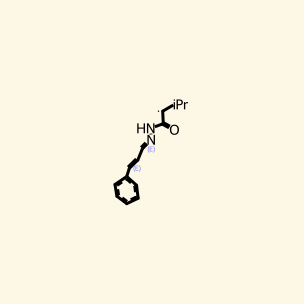 CC(C)[CH]C(=O)N/N=C/C=C/c1ccccc1